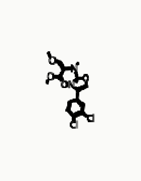 COC=C(C(=O)OC)N(C)c1nc(-c2ccc(Cl)c(Cl)c2)co1